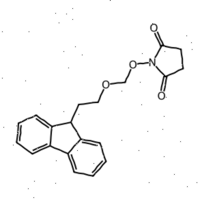 O=C1CCC(=O)N1OCOCCC1c2ccccc2-c2ccccc21